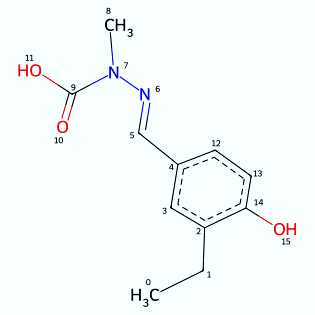 CCc1cc(C=NN(C)C(=O)O)ccc1O